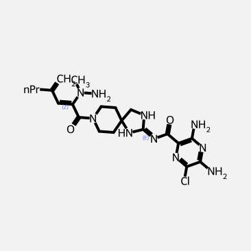 C=C(/C=C(/C(=O)N1CCC2(CC1)CN/C(=N\C(=O)c1nc(Cl)c(N)nc1N)N2)N(C)N)CCC